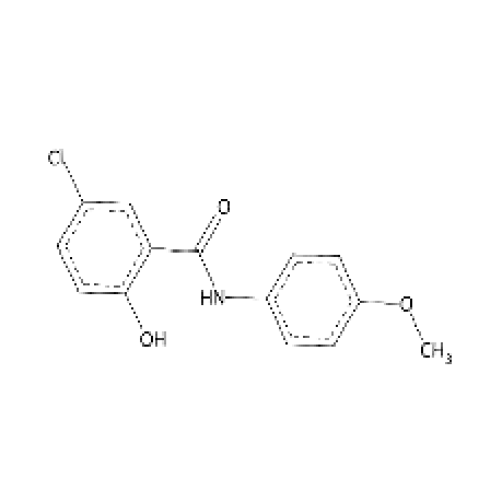 COc1ccc(NC(=O)c2cc(Cl)ccc2O)cc1